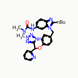 CCCCc1nc2ccc(NC(=O)N(C)C)cc2n1Cc1ccc(OC(c2ccccn2)c2nnn[nH]2)cc1